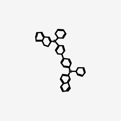 c1ccc2ccc(N(c3ccc(C4C=CC(N(C5=Cc6ccccc6CC5)C5C=CC=CC5)=CC4)cc3)C3C=CC=CC3)cc2c#1